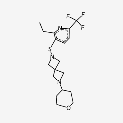 CCc1nc(C(F)(F)F)ccc1SN1CC2(C1)CN(C1CCOCC1)C2